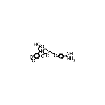 N=C(N)c1ccc(OCCCN2CCN(C(CC(=O)O)c3ccc4c(c3)OCO4)C(=O)C2=O)cc1